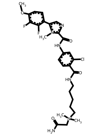 COc1ccc(-c2cnc(C(=O)Nc3ccc(C(=O)NCCCCC[N+](C)(C)CC(N)=O)c(Cl)c3)n2C)c(F)c1F